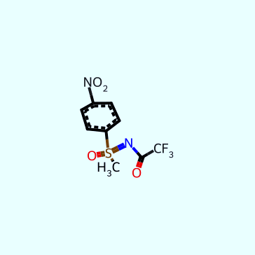 CS(=O)(=NC(=O)C(F)(F)F)c1ccc([N+](=O)[O-])cc1